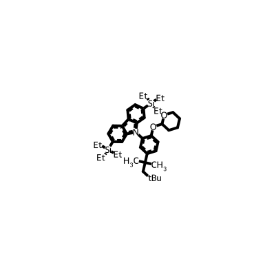 CC[Si](CC)(CC)c1ccc2c3ccc([Si](CC)(CC)CC)cc3n(-c3cc(C(C)(C)CC(C)(C)C)ccc3OC3CCCCO3)c2c1